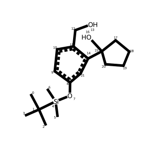 CC(C)(C)[Si](C)(C)Oc1ccc(CO)c(C2(O)CCCC2)c1